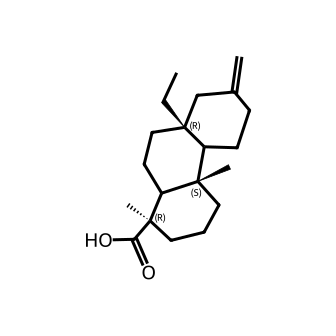 C=C1CCC2[C@](CC)(CCC3[C@@]2(C)CCC[C@@]3(C)C(=O)O)C1